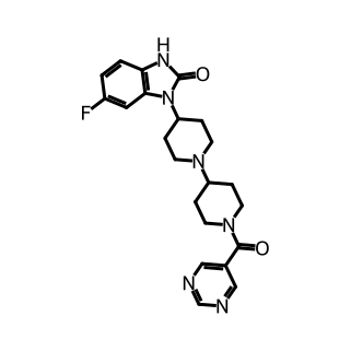 O=C(c1cncnc1)N1CCC(N2CCC(n3c(=O)[nH]c4ccc(F)cc43)CC2)CC1